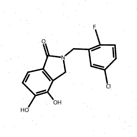 O=C1c2ccc(O)c(O)c2CN1Cc1cc(Cl)ccc1F